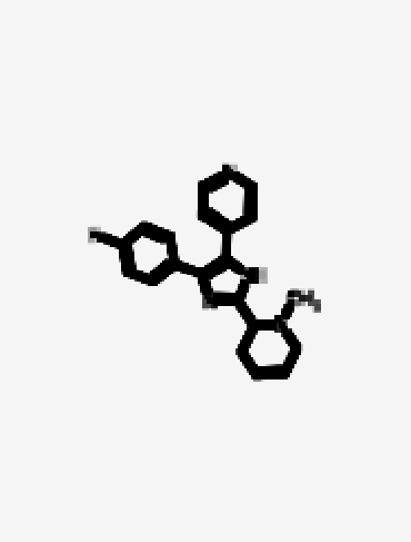 CN1CC=CCC1c1nc(-c2ccc(F)cc2)c(-c2ccncc2)[nH]1